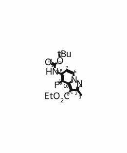 CCOC(=O)c1c(C)nn2ccc(NC(=O)OC(C)(C)C)c(F)c12